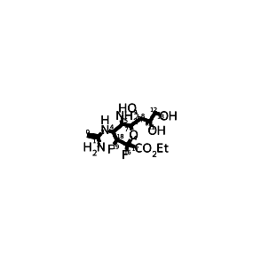 C=C(N)NC1C(N)C([C@H](O)[C@H](O)CO)OC(F)(C(=O)OCC)C1F